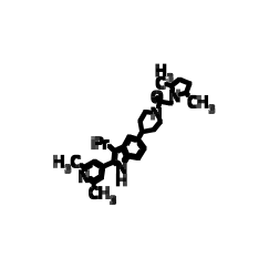 Cc1cc(-c2[nH]c3ccc(C4CCN(C(=O)CN5C(C)CCC5C)CC4)cc3c2C(C)C)cc(C)n1